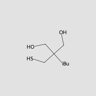 CCC(C)C(CO)(CO)CS